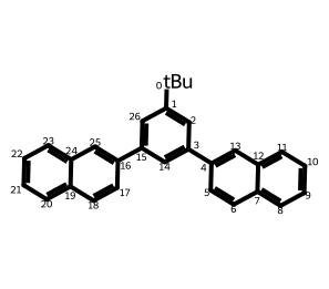 CC(C)(C)c1cc(-c2ccc3ccccc3c2)cc(-c2ccc3ccccc3c2)c1